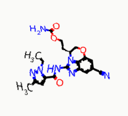 CCn1nc(C)cc1C(=O)Nc1nc2cc(C#N)cc3c2n1[C@@H](CCOC(N)=O)CO3